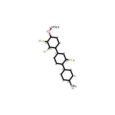 CCCCCCOC1CCC(C2CCC(C3CCC(CCCC)CC3)C(F)C2)C(F)C1F